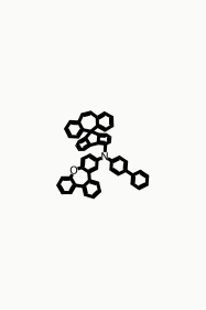 C1=Cc2ccccc2C2(c3ccccc31)c1ccccc1-c1c(N(c3ccc(-c4ccccc4)cc3)c3ccc4c(c3)-c3ccccc3-c3ccccc3O4)cccc12